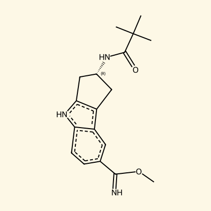 COC(=N)c1ccc2[nH]c3c(c2c1)C[C@@H](NC(=O)C(C)(C)C)C3